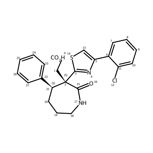 O=C(O)C[C@@]1(c2nc(-c3ccccc3Cl)cs2)C(=O)NCCC[C@H]1c1ccccc1